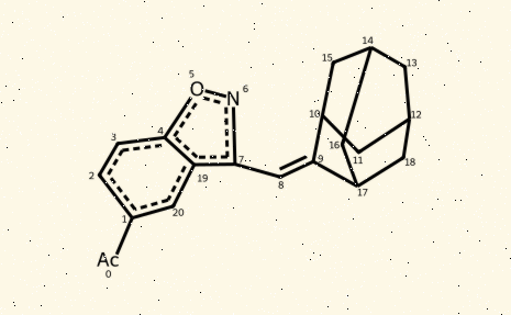 CC(=O)c1ccc2onc(C=C3C4CC5CC(C4)CC3C5)c2c1